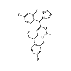 CC(=O)OC(=CCC(CBr)c1ccc(F)cc1F)C(c1ccc(F)cc1F)n1cncn1